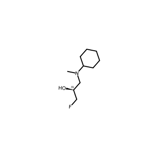 CN(C[C@H](O)CF)C1CCCCC1